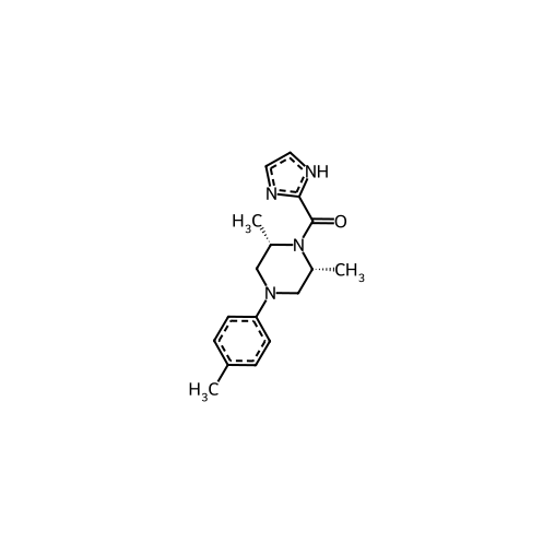 Cc1ccc(N2C[C@@H](C)N(C(=O)c3ncc[nH]3)[C@@H](C)C2)cc1